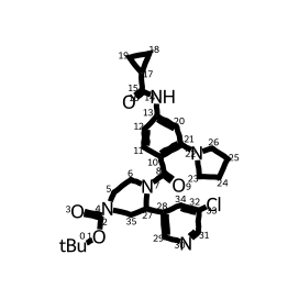 CC(C)(C)OC(=O)N1CCN(C(=O)c2ccc(NC(=O)C3CC3)cc2N2CCCC2)C(c2cncc(Cl)c2)C1